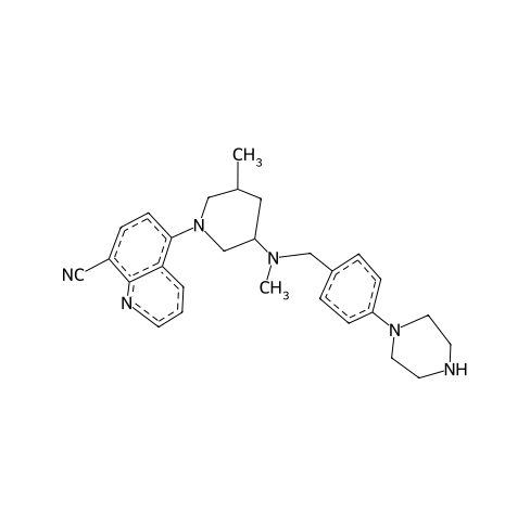 CC1CC(N(C)Cc2ccc(N3CCNCC3)cc2)CN(c2ccc(C#N)c3ncccc23)C1